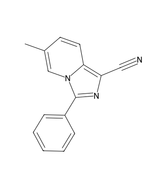 Cc1ccc2c(C#N)nc(-c3ccccc3)n2c1